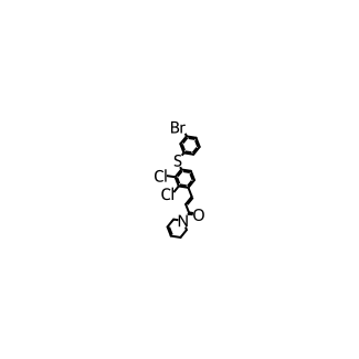 O=C(C=Cc1ccc(Sc2cccc(Br)c2)c(Cl)c1Cl)N1CC=CCC1